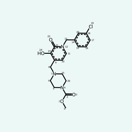 COC(=O)N1CCN(Cc2ccn(Cc3cccc(Cl)c3)c(=O)c2O)CC1